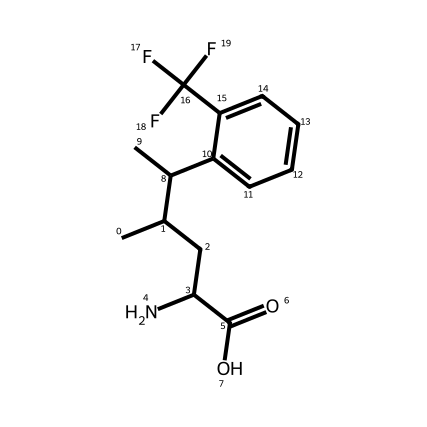 CC(CC(N)C(=O)O)C(C)c1ccccc1C(F)(F)F